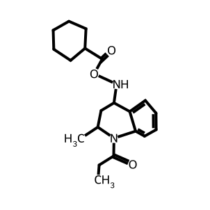 CCC(=O)N1c2ccccc2C(NOC(=O)C2CCCCC2)CC1C